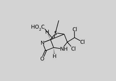 CC1=C(C(=O)O)N2C(=O)[C@@H]3NC(Cl)(C(Cl)Cl)C1S[C@@H]32